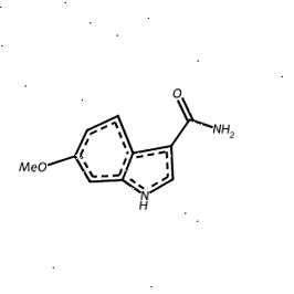 COc1ccc2c(C(N)=O)c[nH]c2c1